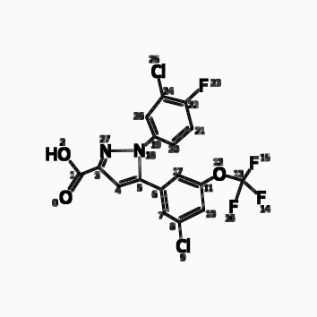 O=C(O)c1cc(-c2cc(Cl)cc(OC(F)(F)F)c2)n(-c2ccc(F)c(Cl)c2)n1